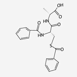 C[C@@H](NC(=O)[C@H](CSC(=O)c1ccccc1)NC(=O)c1ccccc1)C(=O)O